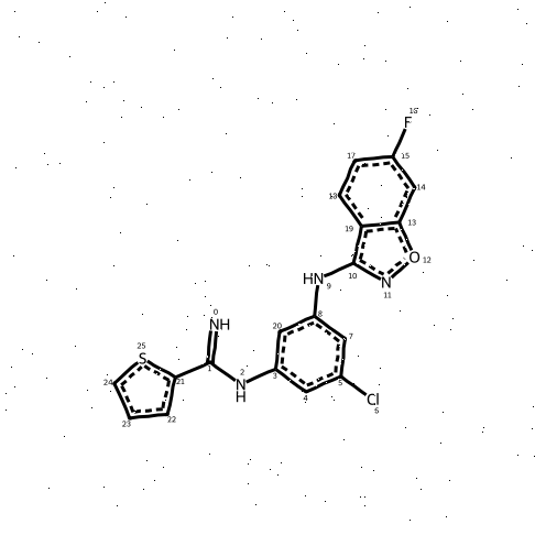 N=C(Nc1cc(Cl)cc(Nc2noc3cc(F)ccc23)c1)c1cccs1